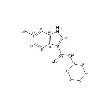 O=C(OC1CCCCC1)c1c[nH]c2cc(F)ccc12